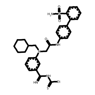 CCC(=S)NC(=N)c1cccc(N(CC(=O)Nc2ccc(-c3ccccc3S(N)(=O)=O)cc2)CC2CCCCC2)c1